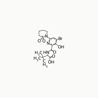 CC(C)(C)C(NC(=O)c1nc(N2CCCCS2(=O)=O)cc(Br)c1O)C(=O)O